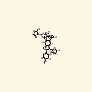 Cc1ncsc1CCN(c1cc2oc(-c3ccc(F)cc3)c(-c3ncc[nH]3)c2cc1C1CC1)S(C)(=O)=O